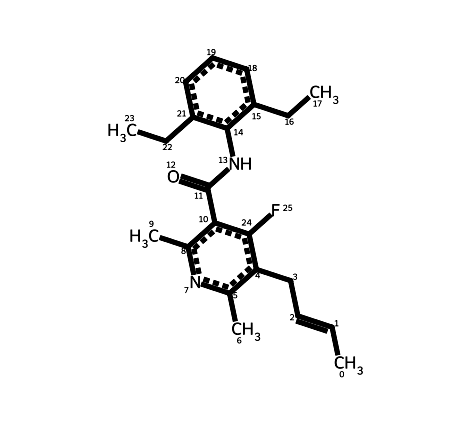 CC=CCc1c(C)nc(C)c(C(=O)Nc2c(CC)cccc2CC)c1F